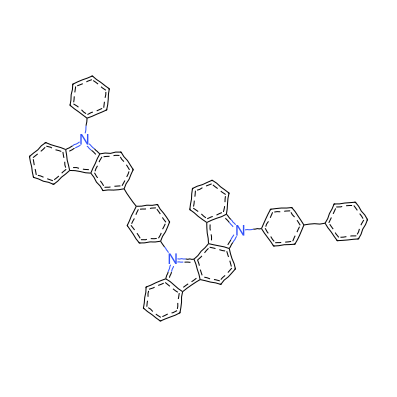 c1ccc(-c2ccc(-n3c4ccccc4c4c3ccc3c5ccccc5n(-c5ccc(-c6ccc7c(c6)c6ccccc6n7-c6ccccc6)cc5)c34)cc2)cc1